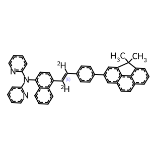 [2H]/C(=C(/[2H])c1ccc(N(c2ccccn2)c2ccccn2)c2ccccc12)c1ccc(-c2cc3c4c(ccc5cccc(c54)C3(C)C)c2)cc1